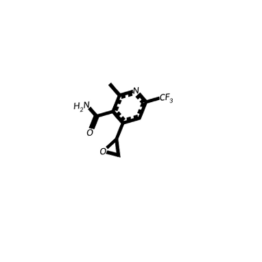 Cc1nc(C(F)(F)F)cc(C2CO2)c1C(N)=O